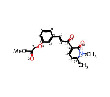 COC(=O)COc1cccc(C=CC(=O)c2ccc(C)n(C)c2=O)c1